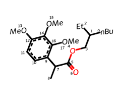 CCCCC(CC)COC(=O)C(C)c1ccc(OC)c(OC)c1OC